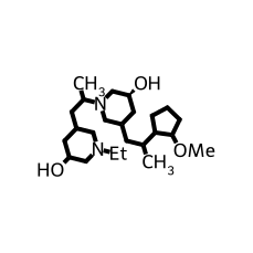 CCN1CC(O)CC(CC(C)N2CC(CC(C)C3CCCC3OC)C[C@H](O)C2)C1